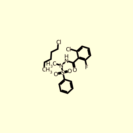 CCCCCCl.CN(NC(=O)c1c(F)cccc1Cl)S(=O)(=O)c1ccccc1